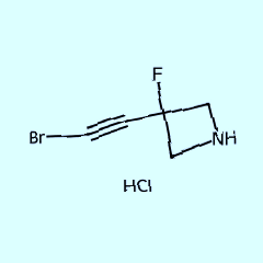 Cl.FC1(C#CBr)CNC1